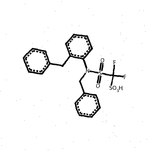 O=S(=O)(O)C(F)(F)S(=O)(=O)N(Cc1ccccc1)c1ccccc1Cc1ccccc1